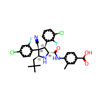 Cc1cc(C(=O)O)ccc1NC(=O)[C@@H]1N[C@@H](CC(C)(C)C)[C@](C#N)(c2ccc(Cl)cc2F)[C@H]1c1cccc(Cl)c1F